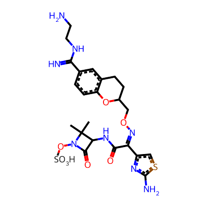 CC1(C)C(NC(=O)/C(=N\OCC2CCc3cc(C(=N)NCCN)ccc3O2)c2csc(N)n2)C(=O)N1OS(=O)(=O)O